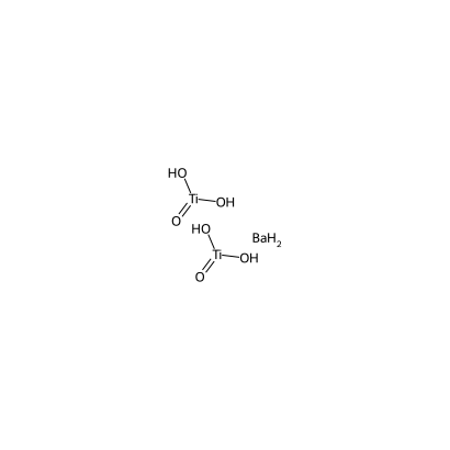 [BaH2].[O]=[Ti]([OH])[OH].[O]=[Ti]([OH])[OH]